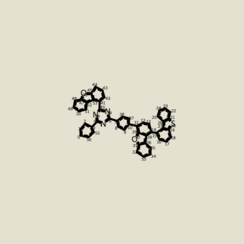 c1ccc(-c2nc(-c3ccc(-c4ccc(-c5cccc6sc7ccccc7c56)c5c4oc4ccccc45)cc3)nc(-c3cccc4oc5ccccc5c34)n2)cc1